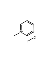 C[n+]1ccccc1.ClI